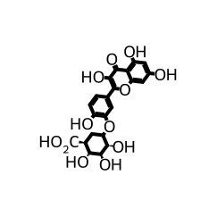 O=C(O)[C@H]1CC(Oc2cc(-c3oc4cc(O)cc(O)c4c(=O)c3O)ccc2O)[C@H](O)[C@@H](O)[C@@H]1O